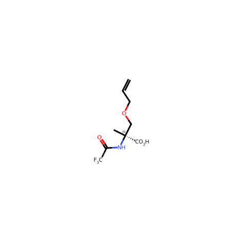 C=CCOC[C@](C)(NC(=O)C(F)(F)F)C(=O)O